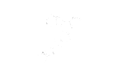 Cc1nc(S(=O)(=O)N2CCOC(c3c(C(N)=O)sc4ccccc34)C2)cn1C